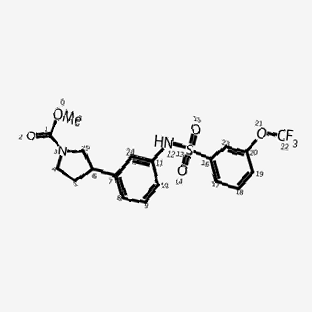 COC(=O)N1CCC(c2cccc(NS(=O)(=O)c3cccc(OC(F)(F)F)c3)c2)C1